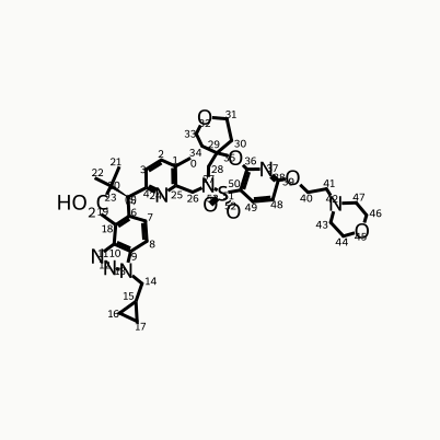 Cc1ccc([C@@H](c2ccc3c(nnn3CC3CC3)c2C)C(C)(C)C(=O)O)nc1CN1CC2(CCOCC2)Oc2nc(OCCN3CCOCC3)ccc2S1(=O)=O